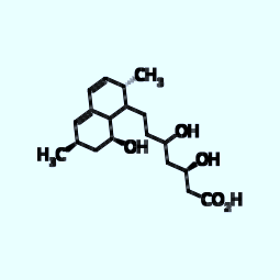 C[C@H]1C=C2C=C[C@H](C)C(CCC(O)C[C@@H](O)CC(=O)O)C2[C@@H](O)C1